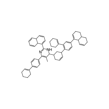 CC1=C(c2ccc(C3=CCCCC3)cc2)N=C(C2=CC=CC3C=CC=CC23)NC1C1CC=CC(c2ccc(C3=CCCC4CCC=CC34)cc2C2=CCCCC2)C1